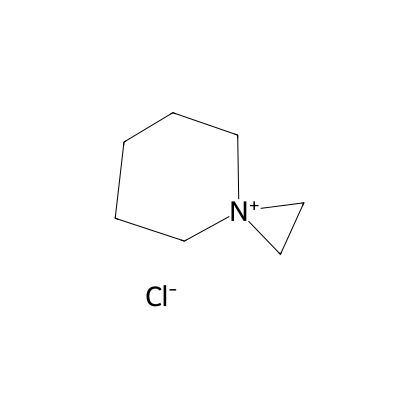 C1CC[N+]2(CC1)CC2.[Cl-]